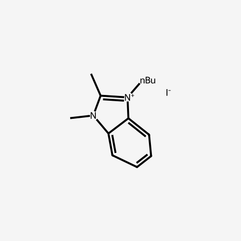 CCCC[n+]1c(C)n(C)c2ccccc21.[I-]